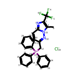 Cc1c(C(F)(F)F)nc2ccc(C[P+](c3ccccc3)(c3ccccc3)c3ccccc3)nn12.[Cl-]